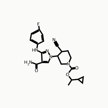 CC(OC(=O)N1CCC(C#N)C(n2cc(C(N)=O)c(Nc3ccc(F)cc3)n2)C1)C1CC1